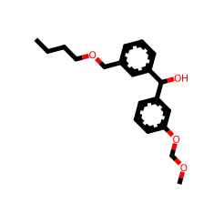 CCCCOCc1cccc(C(O)c2cccc(OCOC)c2)c1